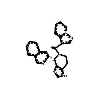 O=C(c1cnn2ccccc12)N1CCc2[nH]cnc2[C@@H]1c1cc2ccccc2cn1